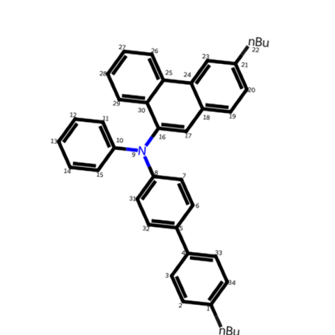 CCCCc1ccc(-c2ccc(N(c3ccccc3)c3cc4ccc(CCCC)cc4c4ccccc34)cc2)cc1